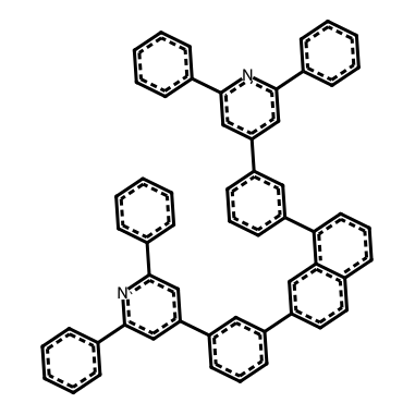 c1ccc(-c2cc(-c3cccc(-c4ccc5cccc(-c6cccc(-c7cc(-c8ccccc8)nc(-c8ccccc8)c7)c6)c5c4)c3)cc(-c3ccccc3)n2)cc1